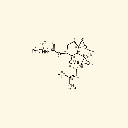 CC[C@H](NC(=O)OC1CC[C@]2(CO2)C([C@@]2(C)O[C@@H]2CC=C(C)C)C1OC)C(C)C